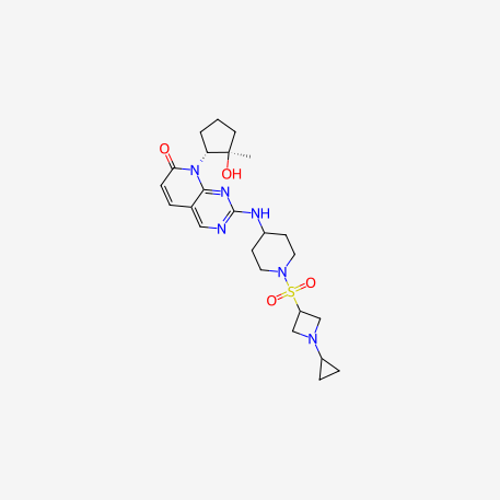 C[C@@]1(O)CCC[C@H]1n1c(=O)ccc2cnc(NC3CCN(S(=O)(=O)C4CN(C5CC5)C4)CC3)nc21